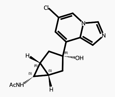 CC(=O)N[C@@H]1[C@@H]2C[C@@](O)(c3cc(Cl)cn4cncc34)C[C@@H]21